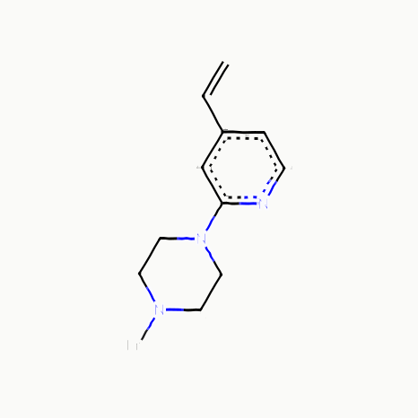 C=Cc1ccnc(N2CCN(C(C)C)CC2)c1